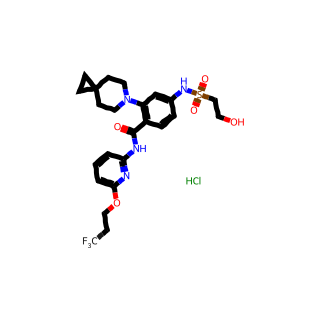 Cl.O=C(Nc1cccc(OCCC(F)(F)F)n1)c1ccc(NS(=O)(=O)CCO)cc1N1CCC2(CC1)CC2